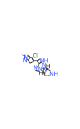 Cn1cc2c(Cl)c(-c3c[nH]c4nc(N5[C@H]6CCNC[C@H]5CC6)n5ccnc5c34)ccc2n1